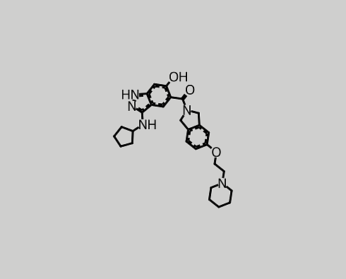 O=C(c1cc2c(NC3CCCC3)n[nH]c2cc1O)N1Cc2ccc(OCCN3CCCCC3)cc2C1